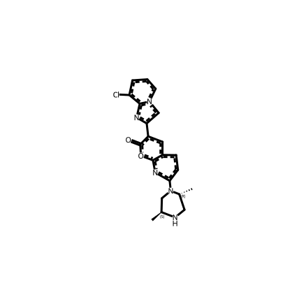 C[C@@H]1CN[C@@H](C)CN1c1ccc2cc(-c3cn4cccc(Cl)c4n3)c(=O)oc2n1